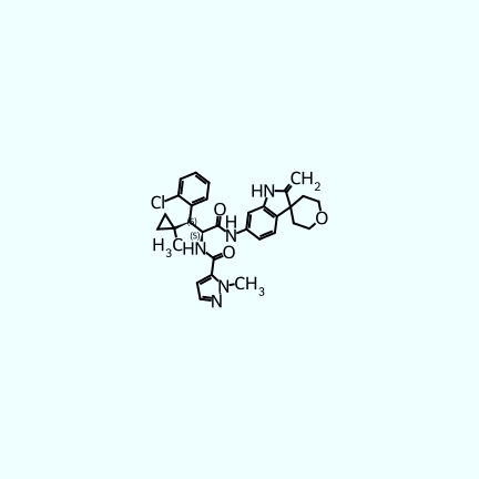 C=C1Nc2cc(NC(=O)[C@@H](NC(=O)c3ccnn3C)[C@H](c3ccccc3Cl)C3(C)CC3)ccc2C12CCOCC2